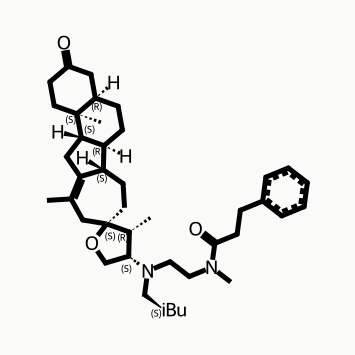 CC[C@H](C)CN(CCN(C)C(=O)CCc1ccccc1)[C@@H]1CO[C@]2(CC[C@@H]3C(=C(C)C2)C[C@H]2[C@H]3CC[C@@H]3CC(=O)CC[C@@]32C)[C@@H]1C